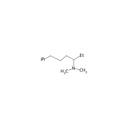 CCC(CCCC(C)C)N(C)C